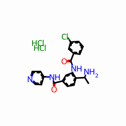 CC(N)c1ccc(C(=O)Nc2ccncc2)cc1NC(=O)c1cccc(Cl)c1.Cl.Cl